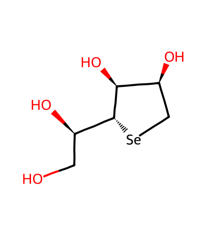 OC[C@@H](O)[C@H]1[Se]C[C@H](O)[C@@H]1O